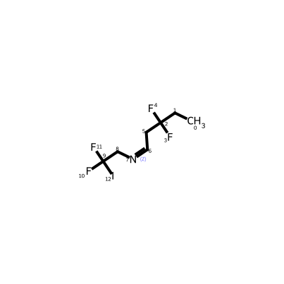 CCC(F)(F)C/C=N\CC(F)(F)I